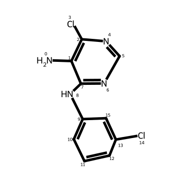 Nc1c(Cl)ncnc1Nc1cccc(Cl)c1